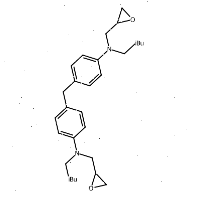 CCC(C)CN(CC1CO1)c1ccc(Cc2ccc(N(CC(C)CC)CC3CO3)cc2)cc1